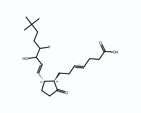 CC(C)(C)CCC(F)C(O)C=C[C@H]1CCC(=O)[C@@H]1CC/C=C/CCC(=O)O